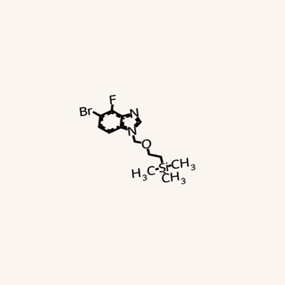 C[Si](C)(C)CCOCn1cnc2c(F)c(Br)ccc21